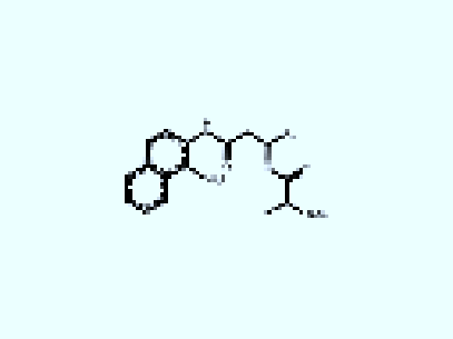 COC(C)C(=O)OC(CC(=O)Nc1ccc2ccccc2c1S(=O)(=O)O)C(C)=O